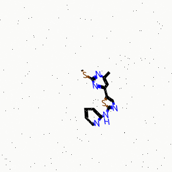 CSc1nc(C)cc(-c2cnc(Nc3ccccn3)s2)n1